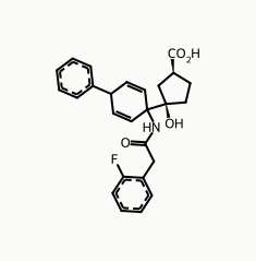 O=C(Cc1ccccc1F)NC1([C@@]2(O)CC[C@H](C(=O)O)C2)C=CC(c2ccccc2)C=C1